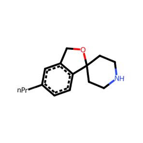 CCCc1ccc2c(c1)COC21CCNCC1